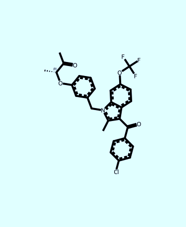 CC(=O)[C@@H](C)Oc1cccc(Cn2c(C)c(C(=O)c3ccc(Cl)cc3)c3ccc(OC(F)(F)F)cc32)c1